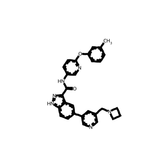 Cc1cccc(Oc2ccc(NC(=O)c3n[nH]c4ccc(-c5cncc(CN6CCC6)c5)cc34)cn2)c1